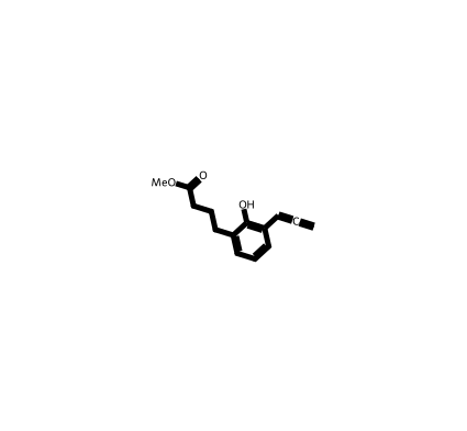 C=C=Cc1cccc(CCCC(=O)OC)c1O